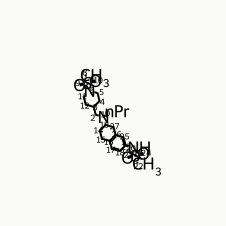 CCCN(CC1CCN(S(C)(=O)=O)CC1)C1CCc2ccc(NS(C)(=O)=O)cc2C1